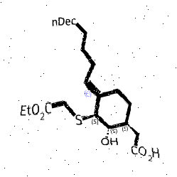 CCCCCCCCCCCCC/C=C1\CC[C@@H](CC(=O)O)[C@H](O)[C@H]1SCC(=O)OCC